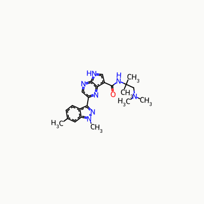 Cc1ccc2c(-c3cnc4[nH]cc(C(=O)NC(C)(C)CN(C)C)c4n3)nn(C)c2c1